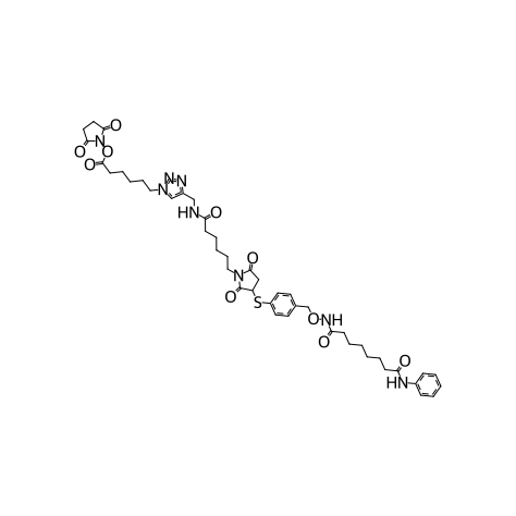 O=C(CCCCCN1C(=O)CC(Sc2ccc(CONC(=O)CCCCCCC(=O)Nc3ccccc3)cc2)C1=O)NCc1cn(CCCCCC(=O)ON2C(=O)CCC2=O)nn1